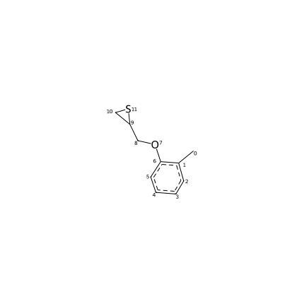 Cc1ccccc1OCC1CS1